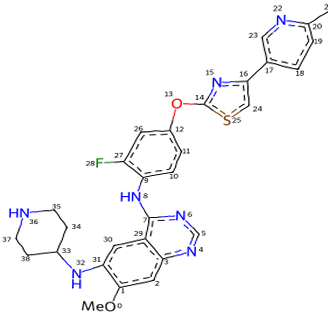 COc1cc2ncnc(Nc3ccc(Oc4nc(-c5ccc(C)nc5)cs4)cc3F)c2cc1NC1CCNCC1